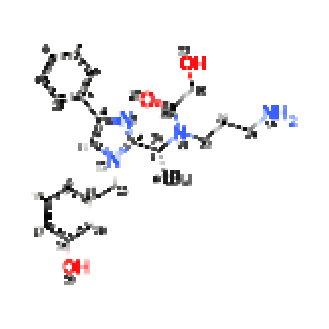 CC(C)(C)[C@H](c1nc(-c2ccccc2)cn1Cc1cccc(O)c1)N(CCCN)C(=O)CO